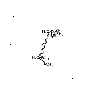 CCCC[N+](C)(C)COCCOCCOC[Si](C)(C)O[Si](C)(C)C